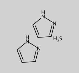 S.c1cn[nH]c1.c1cn[nH]c1